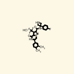 Cc1ccc(-c2cn3nc(C(=O)NC4(c5ccc(F)cc5)CNC4)c(C(F)(F)F)c3c(=O)[nH]2)cc1C.Cl